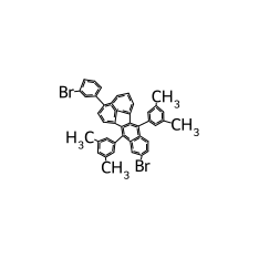 Cc1cc(C)cc(-c2c3c(c(-c4cc(C)cc(C)c4)c4cc(Br)ccc24)-c2ccc(-c4cccc(Br)c4)c4cccc-3c24)c1